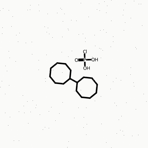 C1CCCC(C2CCCCCCC2)CCC1.O=P(O)(O)Cl